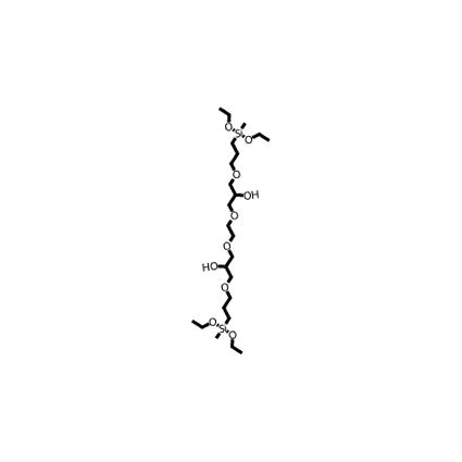 CCO[Si](C)(CCCOCC(O)COCCOCC(O)COCCC[Si](C)(OCC)OCC)OCC